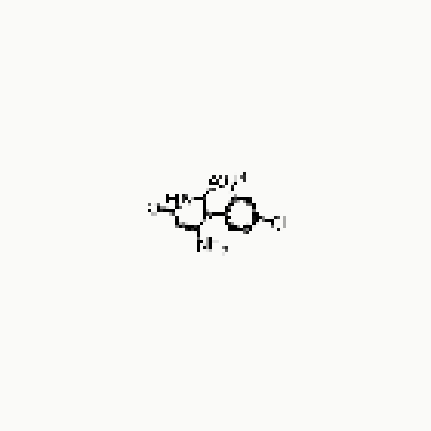 NC1=CC(=O)NC(S(=O)(=O)O)N1c1ccc(Cl)cc1